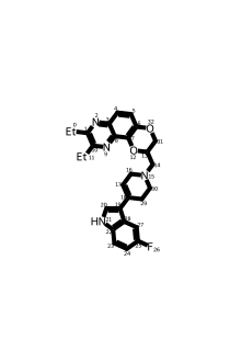 CCc1nc2ccc3c(c2nc1CC)OC(CN1CC=C(c2c[nH]c4ccc(F)cc24)CC1)CO3